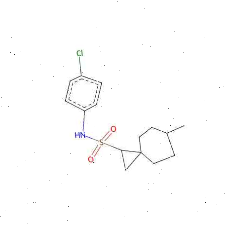 CC1CCC2(CC1)CC2S(=O)(=O)Nc1ccc(Cl)cc1